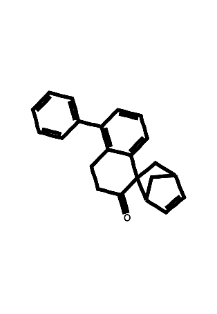 O=C1CCc2c(-c3ccccc3)cccc2C12CC1C=CC2C1